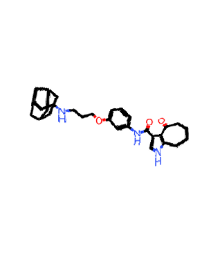 O=C(Nc1cccc(OCCCNC23CC4CC(CC(C4)C2)C3)c1)c1c[nH]c2c1C(=O)CCCC2